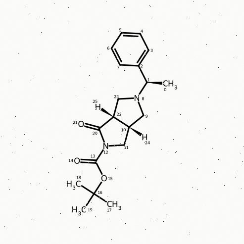 C[C@H](c1ccccc1)N1C[C@@H]2CN(C(=O)OC(C)(C)C)C(=O)[C@@H]2C1